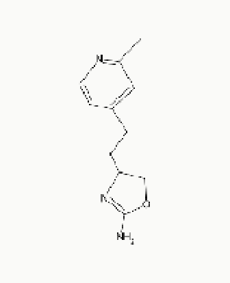 Cc1cc(CCC2COC(N)=N2)ccn1